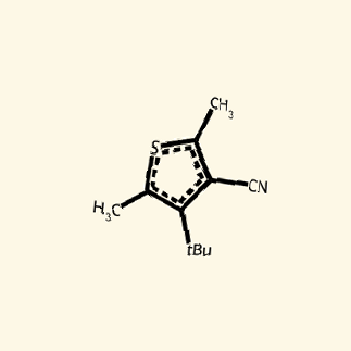 Cc1sc(C)c(C(C)(C)C)c1C#N